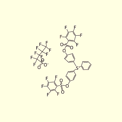 O=S(=O)(Oc1ccc([S+](c2ccccc2)c2ccc(OS(=O)(=O)c3c(F)c(F)c(F)c(F)c3F)cc2)cc1)c1c(F)c(F)c(F)c(F)c1F.O=S(=O)([O-])C(F)(F)C(F)(F)C(F)(F)C(F)(F)F